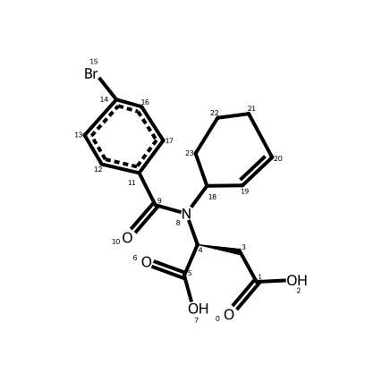 O=C(O)C[C@@H](C(=O)O)N(C(=O)c1ccc(Br)cc1)C1C=CCCC1